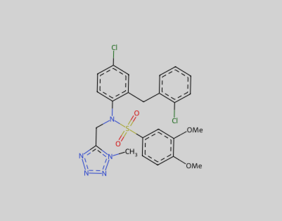 COc1ccc(S(=O)(=O)N(Cc2nnnn2C)c2ccc(Cl)cc2Cc2ccccc2Cl)cc1OC